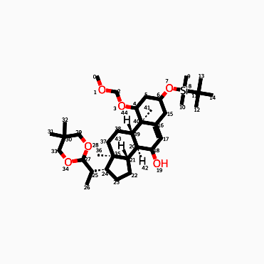 COCOC1CC(O[Si](C)(C)C(C)(C)C)CC2=CC(O)[C@H]3[C@@H]4CC[C@H](C(C)C5OCC(C)(C)CO5)[C@@]4(C)CC[C@@H]3[C@]21C